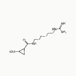 CCCCCCCCC1CC1C(=O)NCCCCCCNC(=N)N